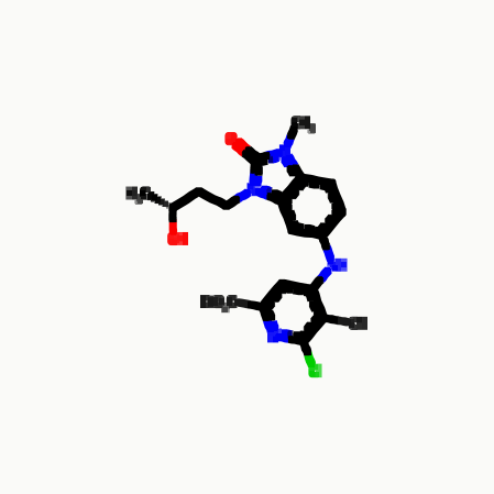 CCOC(=O)c1cc(Nc2ccc3c(c2)n(CC[C@@H](C)O)c(=O)n3C)c(C#N)c(Cl)n1